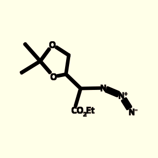 CCOC(=O)C(N=[N+]=[N-])C1COC(C)(C)O1